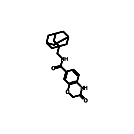 O=C1COc2cc(C(=O)NCC34CC5CC(CC(C5)C3)C4)ccc2N1